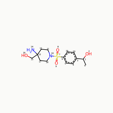 CC(O)c1ccc(S(=O)(=O)N2CCC(N)(CO)CC2)cc1